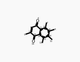 CC1=CC(=O)c2c(C)c(C)c(C)c(C)c2C1=O